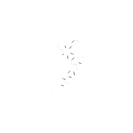 C=C(/C=C\C=C/N)N(CCC(=O)OCC)C(=O)c1ccc(N(C)C(=C)CNc2ccc(C(=N)NC(=O)OCCCCCC)cc2)c(N)c1